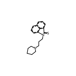 S=C1c2cccc3cccc(c23)N1CCCN1CCCCC1